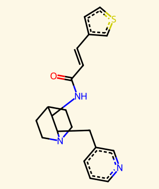 O=C(C=Cc1ccsc1)NC1C2CCN(CC2)C1Cc1cccnc1